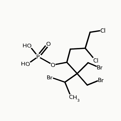 CC(Br)C(CBr)(CBr)C(CC(Cl)CCl)OP(=O)(O)O